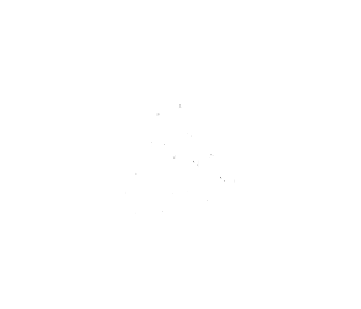 CC1(C)CC(O)(C2c3ccccc3-c3cncn32)C1